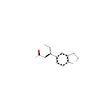 CCC(=CC(=O)O)c1ccc2c(c1)CCO2